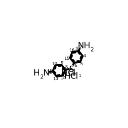 Cl.Cl.Nc1ccc(Sc2ccc(N)cc2)cc1